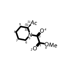 COC(=O)C(=O)N1CCCC[C@H]1C(C)=O